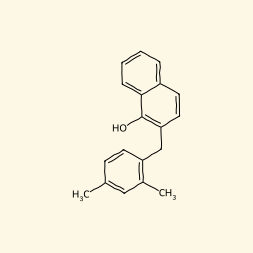 Cc1ccc(Cc2ccc3ccccc3c2O)c(C)c1